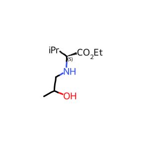 CCOC(=O)[C@@H](NCC(C)O)C(C)C